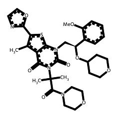 COc1ccccc1[C@H](Cn1c(=O)n(C(C)(C)C(=O)N2CCOCC2)c(=O)c2c(C)c(-c3ncco3)sc21)OC1CCOCC1